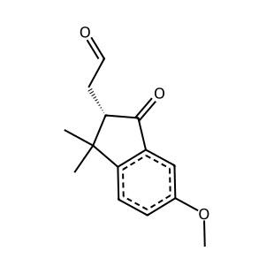 COc1ccc2c(c1)C(=O)[C@@H](CC=O)C2(C)C